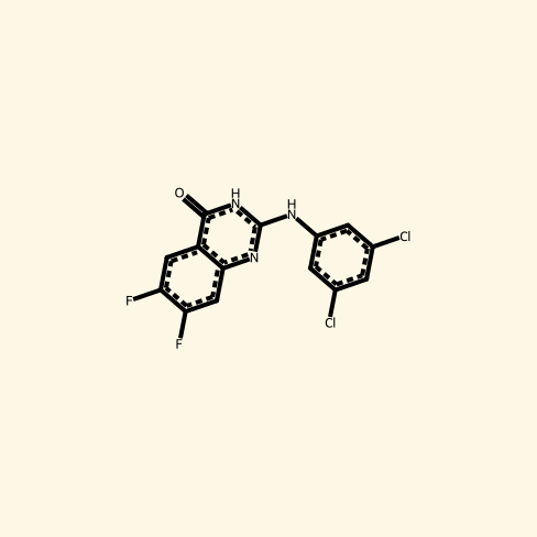 O=c1[nH]c(Nc2cc(Cl)cc(Cl)c2)nc2cc(F)c(F)cc12